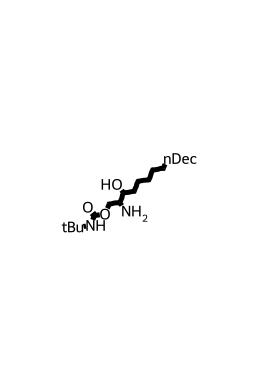 CCCCCCCCCCCCCCCC(O)C(N)COC(=O)NC(C)(C)C